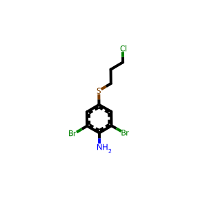 Nc1c(Br)cc(SCCCCl)cc1Br